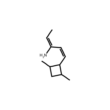 C/C=C(N)\C=C/C1C(C)CC1C